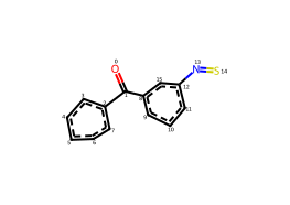 O=C(c1ccccc1)c1cccc(N=S)c1